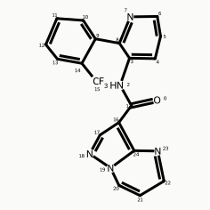 O=C(Nc1cccnc1-c1ccccc1C(F)(F)F)c1cnn2cccnc12